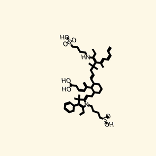 C=C\C=C/C=C(C)/C(=C(\CC)NCCCCS(=O)(=O)O)C(C)(C)C/C=C/C1CCCC(C/C=C2\N(CCCCS(=O)O)C(CC)=C(C3C=CC=CC3)C2(C)C)C1C(=C)/C=C\CC(O)O